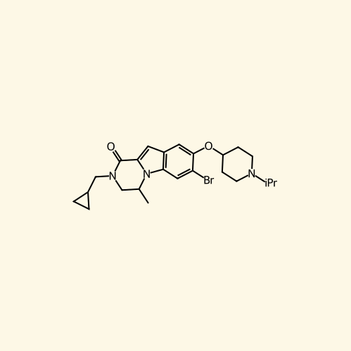 CC(C)N1CCC(Oc2cc3cc4n(c3cc2Br)C(C)CN(CC2CC2)C4=O)CC1